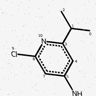 CC(C)c1cc(N)cc(Cl)n1